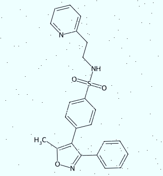 Cc1onc(-c2ccccc2)c1-c1ccc(S(=O)(=O)NCCc2ccccn2)cc1